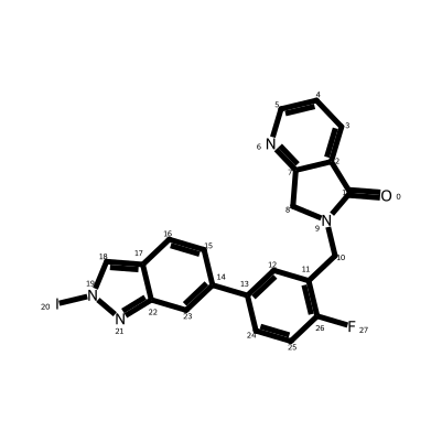 O=C1c2cccnc2CN1Cc1cc(-c2ccc3cn(I)nc3c2)ccc1F